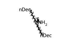 CCCCCCCCCCCCCCCCCCN(CCCCCCCCCCCCCCCCCC)C(N)=S